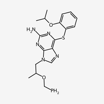 CC(C)Oc1ccccc1Sc1nc(N)nc2c1ncn2CC(C)OCP